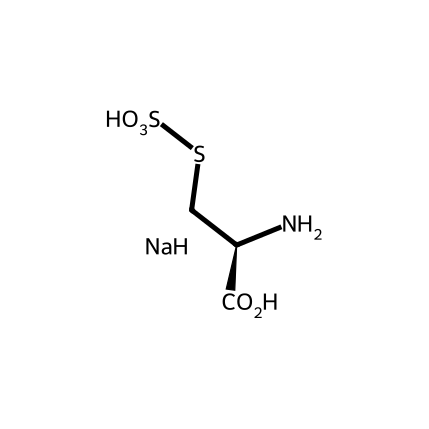 N[C@H](CSS(=O)(=O)O)C(=O)O.[NaH]